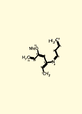 C=CC\C=N/C(=C\C)/C=C(\C=C)OC